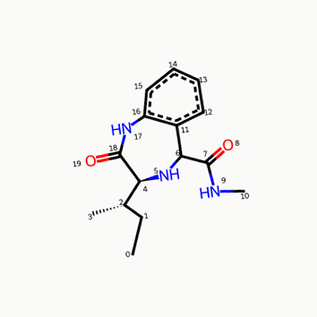 CC[C@H](C)[C@@H]1NC(C(=O)NC)c2ccccc2NC1=O